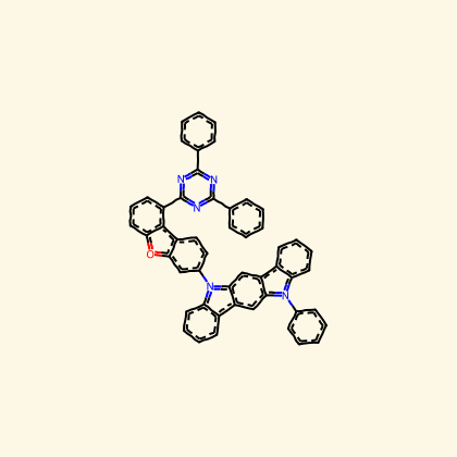 c1ccc(-c2nc(-c3ccccc3)nc(-c3cccc4oc5cc(-n6c7ccccc7c7cc8c(cc76)c6ccccc6n8-c6ccccc6)ccc5c34)n2)cc1